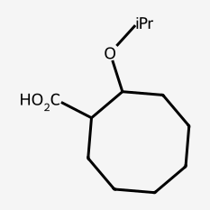 CC(C)OC1CCCCCCC1C(=O)O